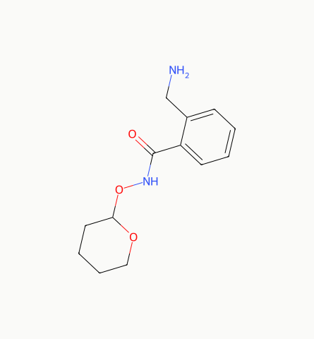 NCc1ccccc1C(=O)NOC1CCCCO1